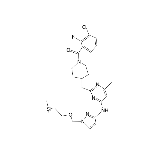 Cc1cc(Nc2ccn(COCC[Si](C)(C)C)n2)nc(CC2CCN(C(=O)c3cccc(Cl)c3F)CC2)n1